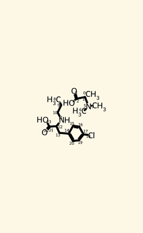 CC(C(=O)O)N(C)C.CCCNC(Cc1ccc(Cl)cc1)C(=O)O